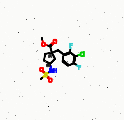 COC(=O)[C@@]1(Cc2ccc(F)c(Cl)c2F)CC[C@H](NS(C)(=O)=O)C1